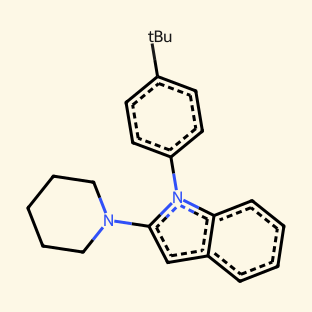 CC(C)(C)c1ccc(-n2c(N3CCCCC3)cc3ccccc32)cc1